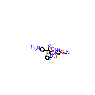 CN(C)Cc1c(-c2ccc(N)cc2)sc2c1c(=O)n(-c1ccc(OCC#N)nn1)c(=O)n2Cc1c(F)cccc1F